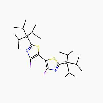 CC(C)[Si](c1nc(I)c(-c2sc([Si](C(C)C)(C(C)C)C(C)C)nc2I)s1)(C(C)C)C(C)C